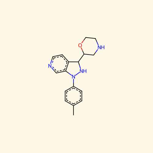 Cc1ccc(N2NC(C3CNCCO3)c3ccncc32)cc1